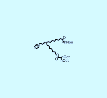 CCCCCCCCCOC(=O)CCCCCCCN(CCCCCCCOC(=O)C(CCCCCCCC)CCCCCCCC)CCCN1C=NCC1